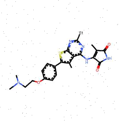 CCc1nc(NC2=C(C)C(=O)NC2=O)c2c(C)c(-c3ccc(OCCN(C)C)cc3)sc2n1